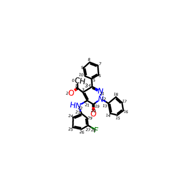 CC(=O)c1c(-c2ccccc2)nn(-c2ccccc2)c(=O)c1Nc1cccc(F)c1